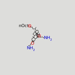 CCCCCCCCOCCCC(C)C1CC[C@H]2C3C(CCC12C)C1(C)CC[C@@H](OCCCN)CC1C[C@H]3OCCCN